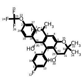 CC(C)c1cc2c(c(-c3ccc(F)cc3)c1[C@H](O)c1ccc(OC(F)(F)F)cc1)[C@@H](O)CC(C)(C)O2